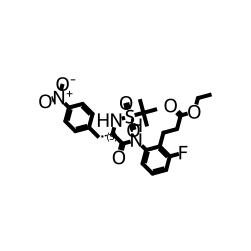 CCOC(=O)CCc1c(F)cccc1NC(=O)[C@H](Cc1ccc([N+](=O)[O-])cc1)NS(=O)(=O)C(C)(C)C